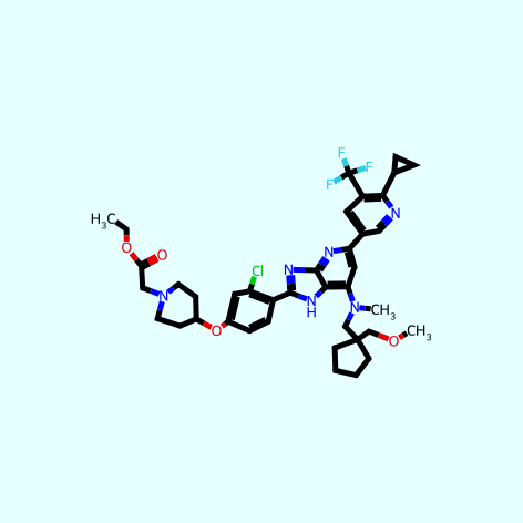 CCOC(=O)CN1CCC(Oc2ccc(-c3nc4nc(-c5cnc(C6CC6)c(C(F)(F)F)c5)cc(N(C)CC5(COC)CCCC5)c4[nH]3)c(Cl)c2)CC1